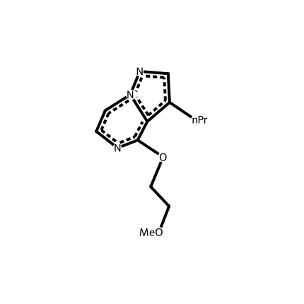 CCCc1cnn2ccnc(OCCOC)c12